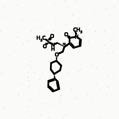 Cn1cccc([C@@H](CNS(C)(=O)=O)CO[C@H]2CC[C@@H](c3ccccc3)CC2)c1=O